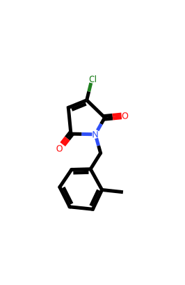 Cc1ccccc1CN1C(=O)C=C(Cl)C1=O